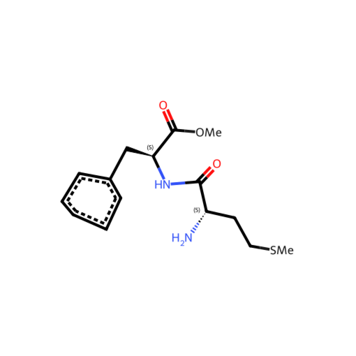 COC(=O)[C@H](Cc1ccccc1)NC(=O)[C@@H](N)CCSC